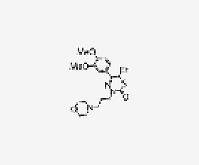 CCC1SC(=O)N(CCCN2CCOCC2)N=C1c1ccc(OC)c(OC)c1